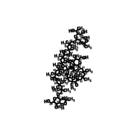 CNC(COC(C)(C)CC(C)(C)C(=O)NCC(C)(C)CC(C)(C)COC1OC(CO)C(O)C(O)C1NC(C)=O)(COC(C)(C)CC(C)(C)C(=O)NCC(C)(C)CC(C)(C)COC1OC(CO)C(O)C(O)C1NC(C)=O)COC(C)(C)CC(C)(C)C(=O)NCC(C)(C)CC(C)(C)COC(OC(CO)[C@@H](C)O)[C@H](CO)NC(C)=O